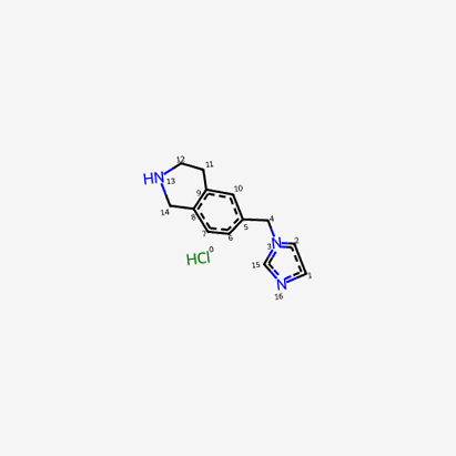 Cl.c1cn(Cc2ccc3c(c2)CCNC3)cn1